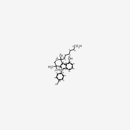 CC1(C)COC(CCCCCC(=O)O)(C(F)(F)F)c2c1n(-c1ccc(F)cc1)c1cccc(O)c21